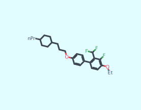 CCCC1CCC(CCCOc2ccc(-c3ccc(OCC)c(F)c3C(F)F)cc2)CC1